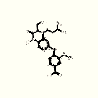 CCC1C(=O)N(C)c2cnc(Nc3ccc(C(=O)O)cc3OC)nc2N1CCC(C)C